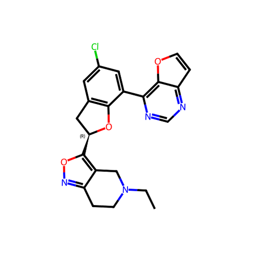 CCN1CCc2noc([C@H]3Cc4cc(Cl)cc(-c5ncnc6ccoc56)c4O3)c2C1